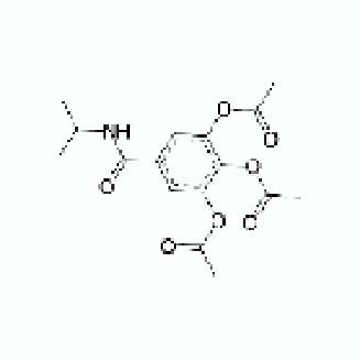 CC(=O)Oc1cc(C(=O)NC(C)C)cc(OC(C)=O)c1OC(C)=O